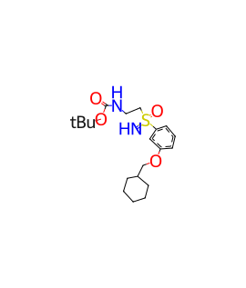 CC(C)(C)OC(=O)NCCS(=N)(=O)c1cccc(OCC2CCCCC2)c1